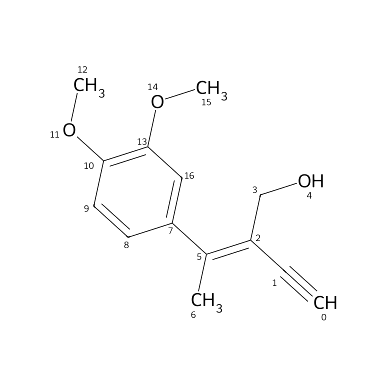 C#CC(CO)=C(C)c1ccc(OC)c(OC)c1